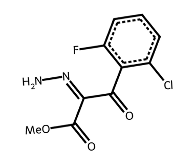 COC(=O)C(=NN)C(=O)c1c(F)cccc1Cl